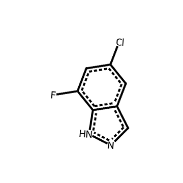 Fc1cc(Cl)cc2cn[nH]c12